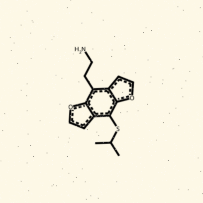 CC(C)Sc1c2ccoc2c(CCN)c2ccoc12